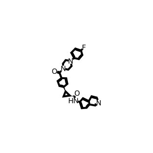 O=C(Nc1ccc2cnccc2c1)[C@@H]1C[C@H]1c1ccc(C(=O)N2CCN(c3ccc(F)cc3)CC2)cc1